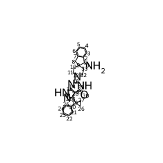 N[C@@H]1c2ccccc2CC12CCN(c1nc3[nH]nc(C4(c5ccccc5)CC4)c3c(=O)[nH]1)CC2